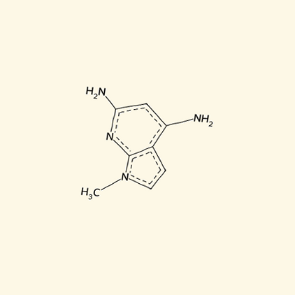 Cn1ccc2c(N)cc(N)nc21